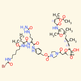 CC(=O)O[C@@H](C)/C=C\C(=O)N[C@@H]1C[C@H](C)[C@H](C/C=C(C)/C=C/[C@H]2O[C@H](CC(=O)N3CCN(C(=O)OCc4ccc(NC(=O)[C@H](CCCNC(N)=O)NC(=O)[C@@H](NC(=O)CCCCCNC(=O)CBr)C(C)C)cc4)CC3)C[C@@]3(CO3)[C@@H]2O)O[C@@H]1C